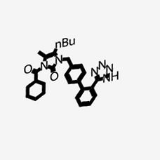 CCCCc1c(C)n(C(=O)C2CCCCC2)c(=O)n1Cc1ccc(-c2ccccc2-c2nnn[nH]2)cc1